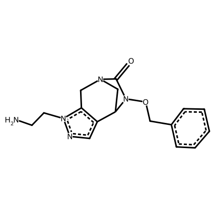 NCCn1ncc2c1CN1CC2N(OCc2ccccc2)C1=O